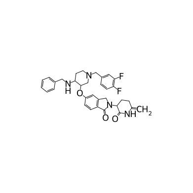 C=C1CCC(N2Cc3cc(OC4CN(Cc5ccc(F)c(F)c5)CCC4NCc4ccccc4)ccc3C2=O)C(=O)N1